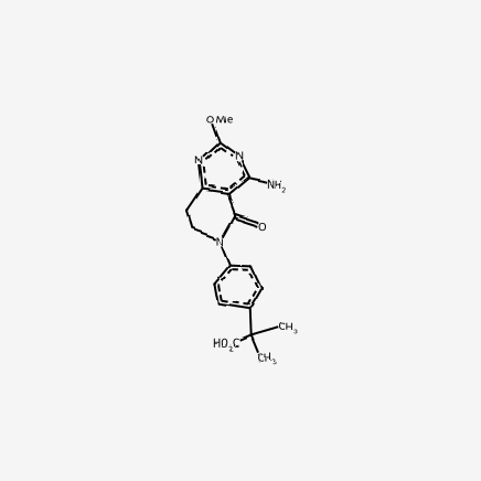 COc1nc(N)c2c(n1)CCN(c1ccc(C(C)(C)C(=O)O)cc1)C2=O